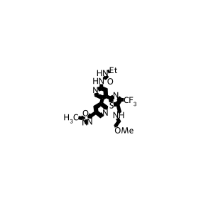 CCNC(=O)Nc1cc(-c2nc(C(F)(F)F)c(CNCCOC)s2)c(-c2cncc(-c3nnc(C)o3)c2)cn1